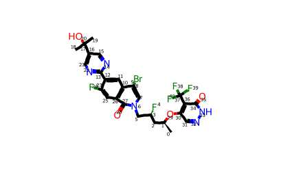 C[C@@H](C[C@@H](F)Cn1cc(Br)c2cc(-c3ncc(C(C)(C)O)cn3)c(F)cc2c1=O)Oc1cn[nH]c(=O)c1C(F)(F)F